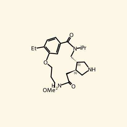 CCc1ccc(C(=O)N(C[C@@H]2CNC[C@H]2CC(N)=O)C(C)C)cc1OCCCOC